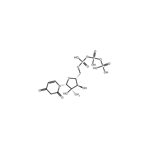 C[C@@]1(O)[C@H](O)[C@@H](COP(=O)(O)OP(=O)(O)OP(=O)(O)O)S[C@H]1N1C=CC(=O)CC1=O